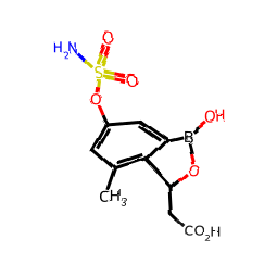 Cc1cc(OS(N)(=O)=O)cc2c1C(CC(=O)O)OB2O